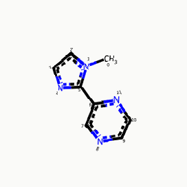 Cn1ccnc1-c1cnccn1